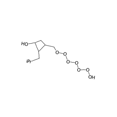 CC(C)CC1C(O)CC1COOOOOOO